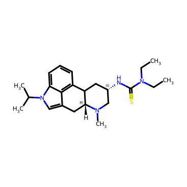 CCN(CC)C(=S)N[C@H]1CC2c3cccc4c3c(cn4C(C)C)C[C@H]2N(C)C1